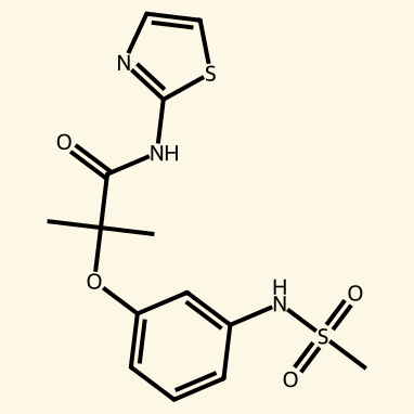 CC(C)(Oc1cccc(NS(C)(=O)=O)c1)C(=O)Nc1nccs1